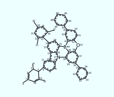 CC1=CC(C)C(c2ccc3c(c2)c2cc(-c4c(C)cc(C)cc4C)cc4c2n3-c2cc(-c3ccccc3)cc3c2B4c2cc(-c4ccccc4)ccc2O3)C(C)=C1